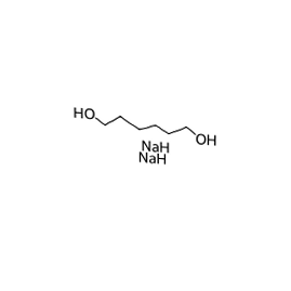 OCCCCCCO.[NaH].[NaH]